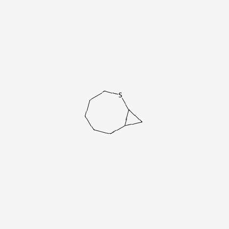 C1CCSC2CC2CC1